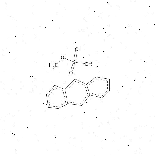 COS(=O)(=O)O.c1ccc2cc3ccccc3cc2c1